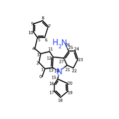 CC1CC(Cc2ccccc2)CC2=C1N(c1ccccc1)C1CC=CC(N)=C21